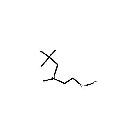 [CH2-][CH+]CCN(C)CC(C)(C)C